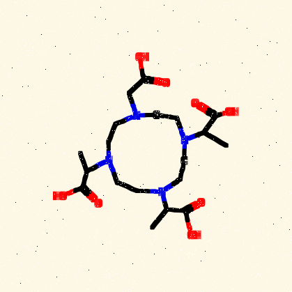 CC(C(=O)O)N1CCN(CC(=O)O)CCN(C(C)C(=O)O)CCN(C(C)C(=O)O)CC1